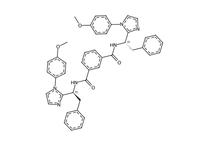 COc1ccc(-n2ccnc2[C@H](Cc2ccccc2)NC(=O)c2cccc(C(=O)N[C@@H](Cc3ccccc3)c3nccn3-c3ccc(OC)cc3)c2)cc1